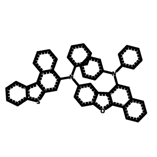 c1ccc(N(c2ccc3oc4c5ccccc5cc(N(c5ccccc5)c5ccccc5)c4c3c2)c2cc3sc4ccccc4c3c3ccccc23)cc1